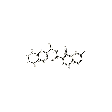 Cc1ccc2[nH]cc(C(=O)NC(C)c3ccc4c(c3)OCCO4)c(=O)c2c1